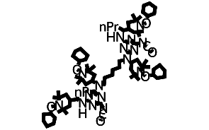 CCCC(Nc1nc(N=C=O)nc(N(CCCCCCN(c2nc(N=C=O)nc(NC(CCC)C3CC(C)(C)N(OC4CCCCC4)C(C)(C)C3)n2)C2CC(C)(C)N(OC3CCCCC3)C(C)(C)C2)C2CC(C)(C)N(OC3CCCCC3)C(C)(C)C2)n1)C1CC(C)(C)N(OC2CCCCC2)C(C)(C)C1